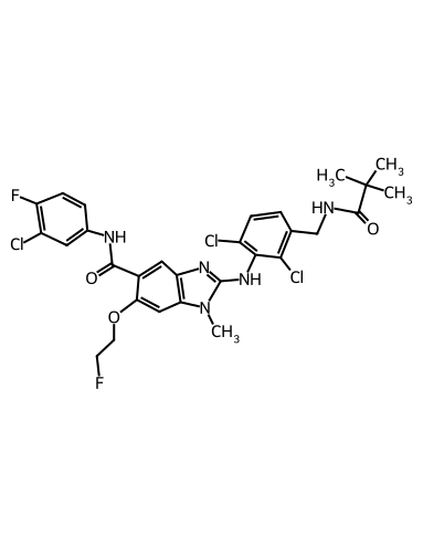 Cn1c(Nc2c(Cl)ccc(CNC(=O)C(C)(C)C)c2Cl)nc2cc(C(=O)Nc3ccc(F)c(Cl)c3)c(OCCF)cc21